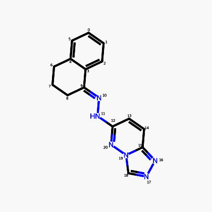 c1ccc2c(c1)CCCC2=NNc1ccc2nncn2n1